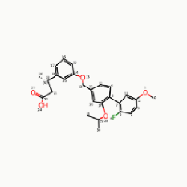 COc1ccc(F)c(-c2ccc(COc3cccc([C@@H](C)CC(=O)O)c3)cc2OC(C)C)c1